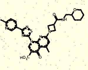 Cc1ccc(-c2nsc(-n3cc(C(=O)O)c(=O)c4c(C)cc(N5CC(C(=O)NCC6CCCCO6)C5)nc43)n2)cn1